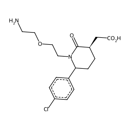 NCCOCCN1C(=O)[C@@H](CC(=O)O)CCC1c1ccc(Cl)cc1